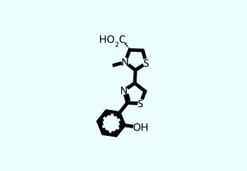 CN1C(C2CSC(c3ccccc3O)=N2)SC[C@H]1C(=O)O